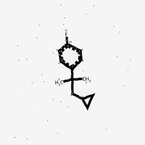 CC(C)(CC1CC1)c1ccc(F)cc1